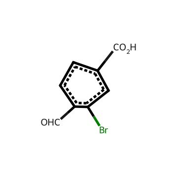 O=Cc1ccc(C(=O)O)cc1Br